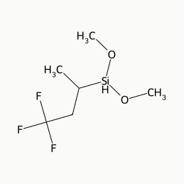 CO[SiH](OC)C(C)CC(F)(F)F